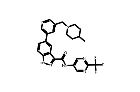 CC1CCN(Cc2cncc(-c3ccc4[nH]nc(C(=O)Nc5cnc(C(F)(F)F)nc5)c4c3)c2)CC1